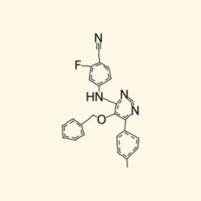 Cc1ccc(-c2ncnc(Nc3ccc(C#N)c(F)c3)c2OCc2ccccc2)cc1